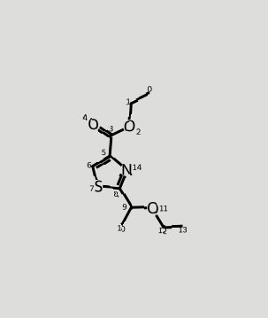 CCOC(=O)c1csc(C(C)OCC)n1